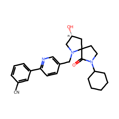 N#Cc1cccc(-c2ccc(CN3C[C@H](O)CC34CCN(C3CCCCC3)C4=O)cn2)c1